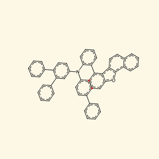 c1ccc(-c2ccc(N(c3ccc(-c4ccccc4)c(-c4ccccc4)c3)c3ccccc3-c3cccc4oc5c6ccccc6ccc5c34)cc2)cc1